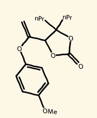 C=C(Oc1ccc(OC)cc1)C1OC(=O)OC1(CCC)CCC